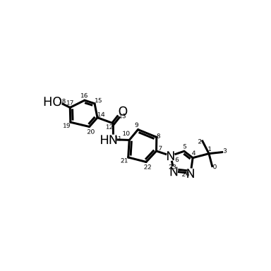 CC(C)(C)c1cn(-c2ccc(NC(=O)c3ccc(O)cc3)cc2)nn1